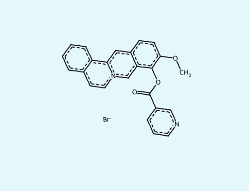 COc1ccc2cc3c4ccccc4cc[n+]3cc2c1OC(=O)c1cccnc1.[Br-]